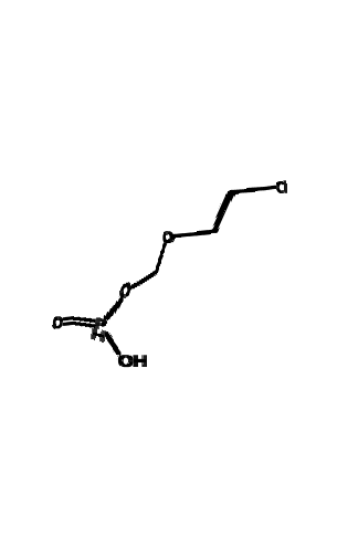 O=[PH](O)OCOCCCl